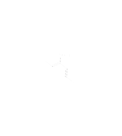 CC=C(C=CCC)S(=O)(=O)O